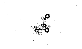 CCCCc1cnn(CC)c1C(=O)CN1c2ccccc2[C@]2(O)C[C@@H](COC(=O)c3ccccc3)OC12